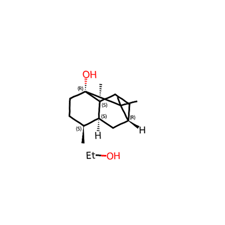 CCO.C[C@H]1CC[C@@]2(O)C(C)(C)[C@@H]3CC[C@@]2(C)[C@H]1C3